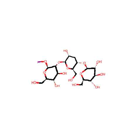 OC[C@H]1O[C@@H](O[C@H]2C[C@@H](O)[C@H](O[C@H]3[C@H](OI)O[C@H](CO)[C@@H](O)[C@@H]3O)O[C@@H]2CO)[C@H](O)[C@@H](O)[C@@H]1O